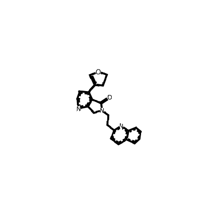 O=C1c2c(C3=COCC3)ccnc2CN1CCc1ccc2ccccc2n1